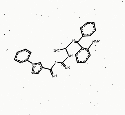 CNc1ccccc1/C(=N\C(C=O)NC(=N)OC(=N)c1cnn(-c2ccccc2)c1)c1ccccc1